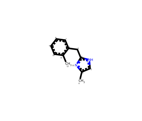 Cc1c[nH]c(Cc2ccccc2C)n1